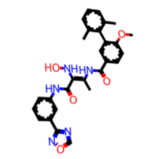 COc1ccc(C(=O)N/C(C)=C(\NO)C(=O)Nc2cccc(-c3ncon3)c2)cc1-c1c(C)cccc1C